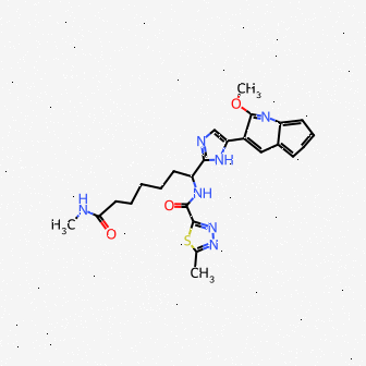 CNC(=O)CCCCCC(NC(=O)c1nnc(C)s1)c1ncc(-c2cc3ccccc3nc2OC)[nH]1